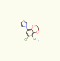 Nc1c(Cl)cc(-n2ccnc2)c2c1OCCO2